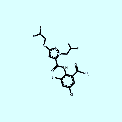 NC(=O)c1cc(Cl)cc(Br)c1NC(=O)c1cc(OCC(F)F)nn1CC(F)F